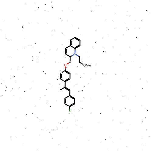 COCCN1c2ccccc2C=CC1COc1ccc(C(C)=Cc2ccc(Cl)cc2)cc1